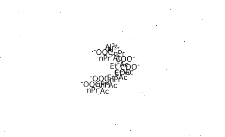 CCC(C(C)=O)C(=O)[O-].CCC(C(C)=O)C(=O)[O-].CCC(C(C)=O)C(=O)[O-].CCCC(CCC)(C(C)=O)C(=O)[O-].CCCC(CCC)(C(C)=O)C(=O)[O-].CCCC(CCC)(C(C)=O)C(=O)[O-].[Al+3].[Al+3]